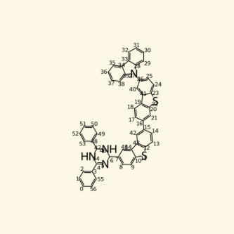 c1ccc(C2=NC(c3ccc4sc5ccc(-c6ccc7c(c6)sc6ccc(-n8c9ccccc9c9ccccc98)cc67)cc5c4c3)NC(c3ccccc3)N2)cc1